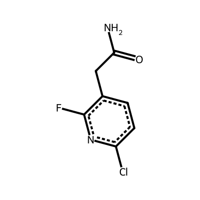 NC(=O)Cc1ccc(Cl)nc1F